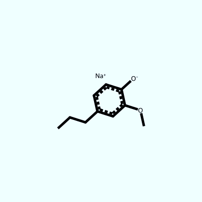 CCCc1ccc([O-])c(OC)c1.[Na+]